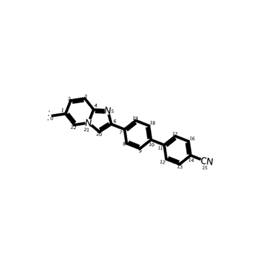 [C]c1ccc2nc(-c3ccc(-c4ccc(C#N)cc4)cc3)cn2c1